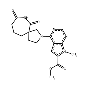 COC(=O)c1cc2c(N3CCC4(CCCC(=O)NC4=O)C3)ncnc2n1C